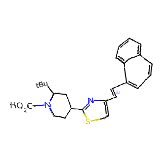 CC(C)(C)C1CC(c2nc(/C=C/c3cccc4ccccc34)cs2)CCN1C(=O)O